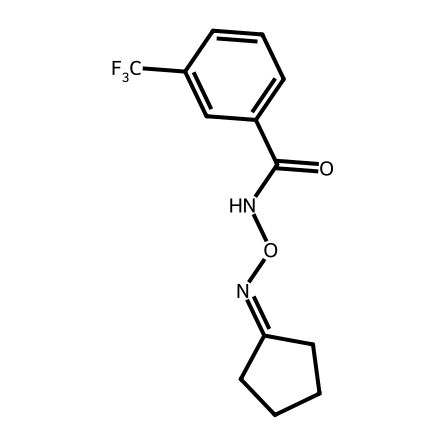 O=C(NON=C1CCCC1)c1cccc(C(F)(F)F)c1